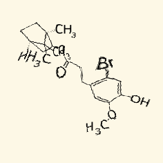 COc1cc(/C=C/C(=O)O[C@H]2C[C@H]3CC[C@]2(C)C3(C)C)c(Br)cc1O